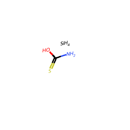 NC(O)=S.[SiH4]